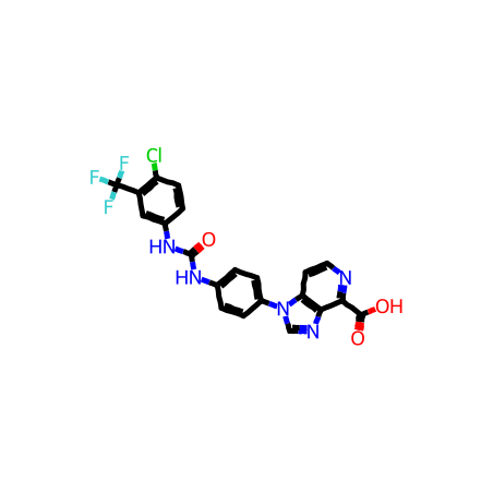 O=C(Nc1ccc(-n2cnc3c(C(=O)O)nccc32)cc1)Nc1ccc(Cl)c(C(F)(F)F)c1